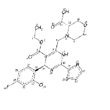 CCOC(=O)C1=C(CN2CCOC[C@H]2C(=O)O)NC(c2nccs2)=N[C@H]1c1ccc(F)cc1Cl